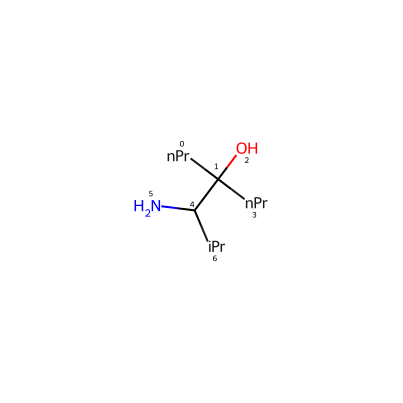 CCCC(O)(CCC)C(N)C(C)C